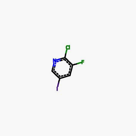 Fc1cc(I)cnc1Cl